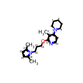 Cc1c(N2CCCCC2)ccnc1OCCCn1c(C)ccc1C